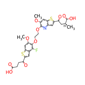 COc1cc2sc(C(=O)C[C@H](C)C(=O)O)cc2nc1OCCOc1c(OC)cc2sc(C(=O)CCC(=O)O)cc2c1F